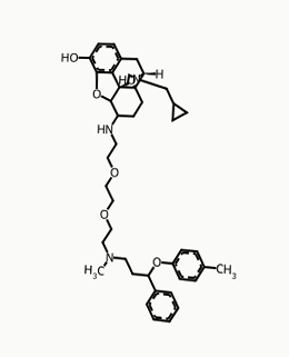 Cc1ccc(OC(CCN(C)CCOCCOCCNC2CC[C@@]3(O)[C@H]4Cc5ccc(O)c6c5[C@@]3(CCN4CC3CC3)C2O6)c2ccccc2)cc1